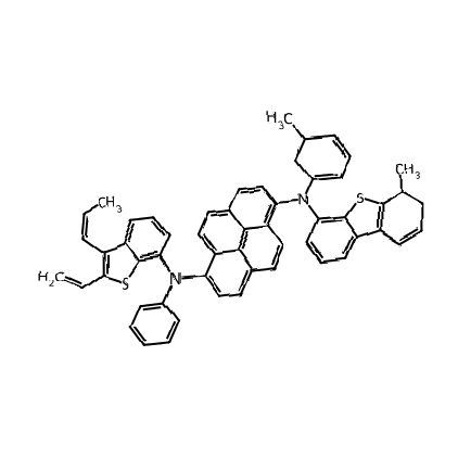 C=Cc1sc2c(N(c3ccccc3)c3ccc4ccc5c(N(C6=CC=CC(C)C6)c6cccc7c8c(sc67)C(C)CC=C8)ccc6ccc3c4c65)cccc2c1/C=C\C